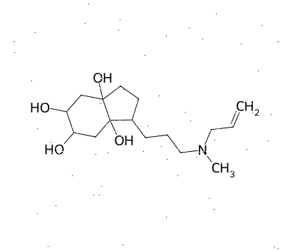 C=CCN(C)CCCC1CCC2(O)CC(O)C(O)CC12O